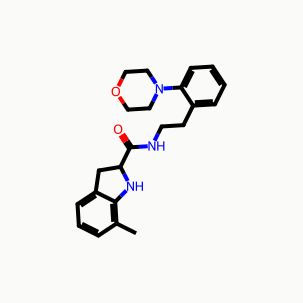 Cc1cccc2c1NC(C(=O)NCCc1ccccc1N1CCOCC1)C2